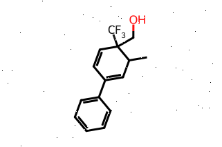 CC1C=C(c2ccccc2)C=CC1(CO)C(F)(F)F